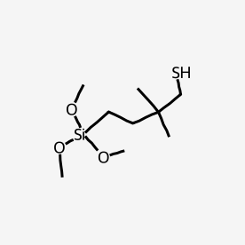 CO[Si](CCC(C)(C)CS)(OC)OC